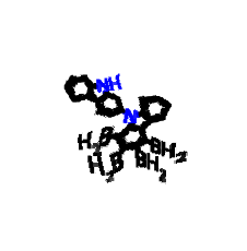 Bc1c(B)c(B)c2c(c1B)c1ccccc1n2-c1ccc2c(c1)[nH]c1ccccc12